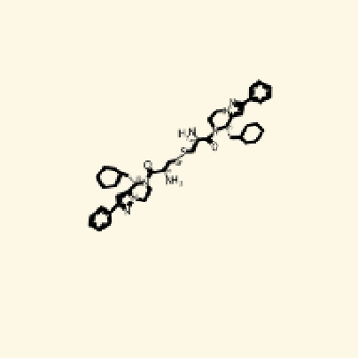 N[C@@H](CSSC[C@H](N)C(=O)N1CCn2nc(-c3ccccc3)cc2[C@@H]1CC1CCCCC1)C(=O)N1CCn2nc(-c3ccccc3)cc2[C@@H]1CC1CCCCC1